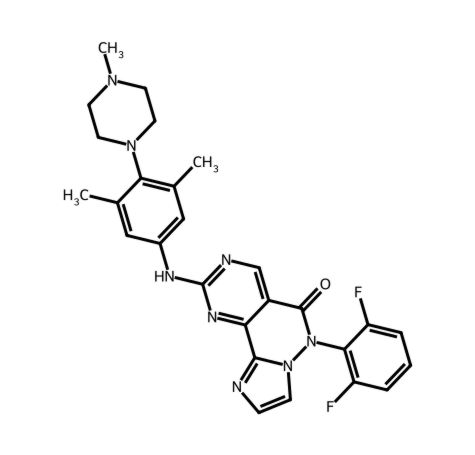 Cc1cc(Nc2ncc3c(=O)n(-c4c(F)cccc4F)n4ccnc4c3n2)cc(C)c1N1CCN(C)CC1